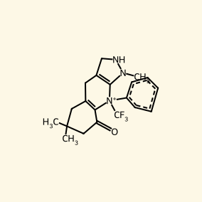 CN1NCC2=C1[N+](c1ccccc1)(C(F)(F)F)C1=C(C2)CC(C)(C)CC1=O